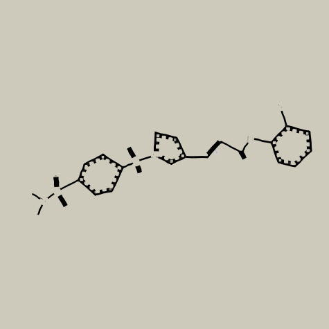 CN(C)S(=O)(=O)c1ccc(S(=O)(=O)n2ccc(/C=C/C(=O)Nc3ccccc3N)c2)cc1